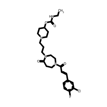 CCNC(=O)OC1CCN(CCCN2CCN(C(=O)C=Cc3ccc(F)c(Cl)c3)CCC2=O)CC1